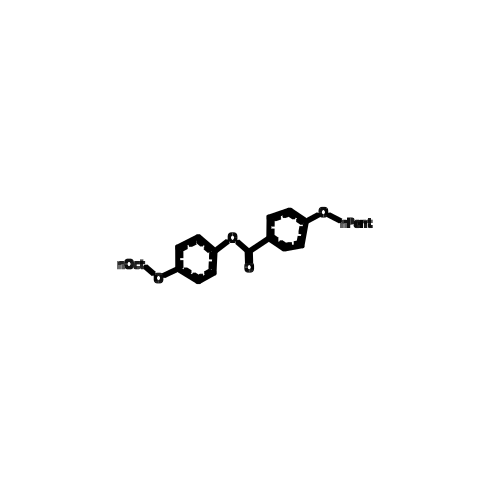 CCCCCCCCOc1ccc(OC(=O)c2ccc(OCCCCC)cc2)cc1